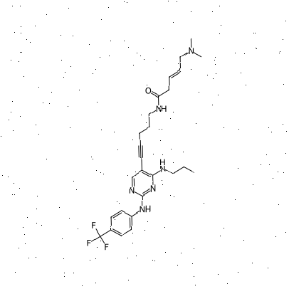 CCCNc1nc(Nc2ccc(C(F)(F)F)cc2)ncc1C#CCCCNC(=O)C/C=C/CN(C)C